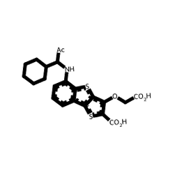 CC(=O)C(Nc1cccc2c1sc1c(OCC(=O)O)c(C(=O)O)sc12)C1CCCCC1